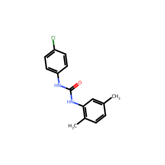 Cc1ccc(C)c(NC(=O)Nc2ccc(Cl)cc2)c1